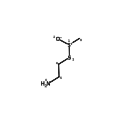 C[S+]([O-])SCCN